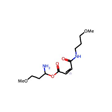 COCCCNC(=O)/C=C\C(=O)OC(N)CCOC